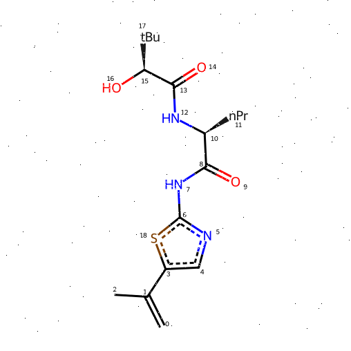 C=C(C)c1cnc(NC(=O)[C@H](CCC)NC(=O)[C@@H](O)C(C)(C)C)s1